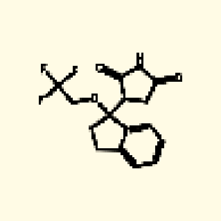 O=C1CC(C2(OCC(F)(F)F)CCc3ccccc32)C(=O)N1